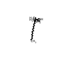 CCCCCCCCCCCCCCCC[N+](C)(C)C(CC)C1CCNC1